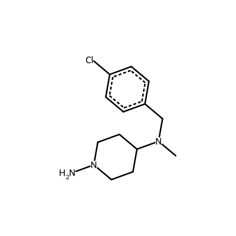 CN(Cc1ccc(Cl)cc1)C1CCN(N)CC1